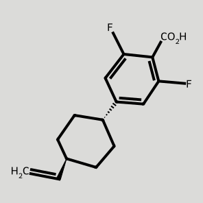 C=C[C@H]1CC[C@H](c2cc(F)c(C(=O)O)c(F)c2)CC1